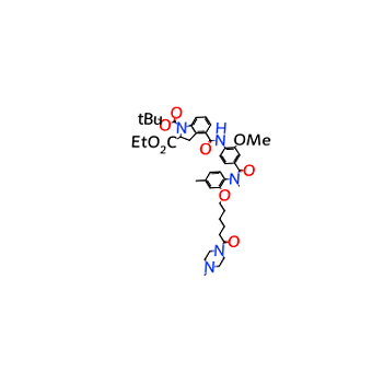 CCOC(=O)C1Cc2c(C(=O)Nc3ccc(C(=O)N(C)c4ccc(C)cc4OCCCCCC(=O)N4CCN(C)CC4)cc3OC)cccc2N1C(=O)OC(C)(C)C